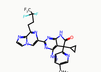 COc1ccc(C2(C3CC3)C(=O)Nc3nc(-c4cn5ccnc5c(CCC(F)(F)C(F)(F)F)n4)nc(N)c32)nc1